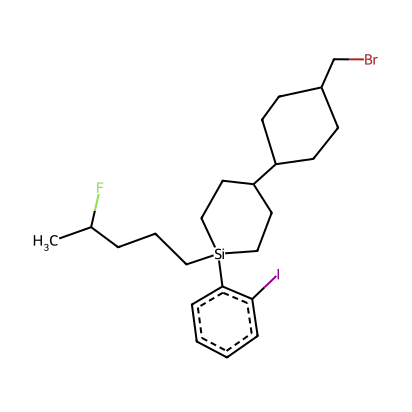 CC(F)CCC[Si]1(c2ccccc2I)CCC(C2CCC(CBr)CC2)CC1